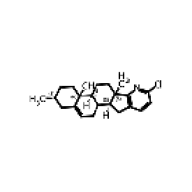 C[C@H]1CC[C@@]2(C)C(=CCC3[C@@H]2CC[C@]2(C)c4nc(Cl)ccc4C[C@@H]32)C1